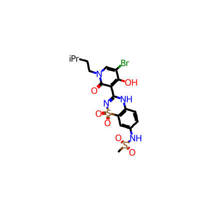 CC(C)CCn1cc(Br)c(O)c(C2=NS(=O)(=O)c3cc(NS(C)(=O)=O)ccc3N2)c1=O